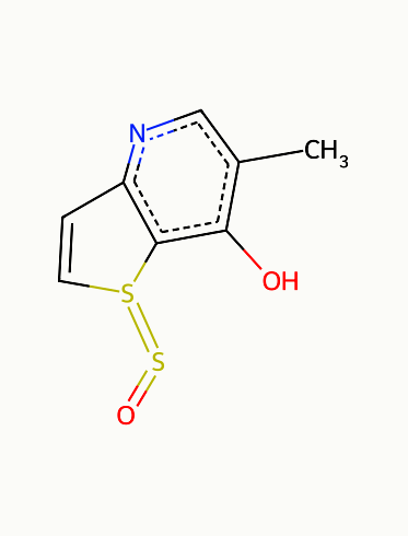 Cc1cnc2c(c1O)S(=S=O)C=C2